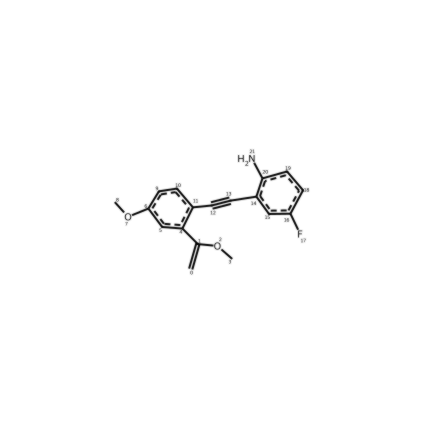 C=C(OC)c1cc(OC)ccc1C#Cc1cc(F)ccc1N